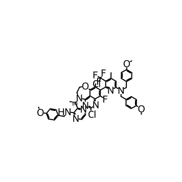 COc1ccc(CNc2nccnc2[C@@H](C)N2CCOc3c(Cl)c(-c4nc(N(Cc5ccc(OC)cc5)Cc5ccc(OC)cc5)cc(C)c4C(F)(F)F)c(F)c4nc(Cl)nc2c34)cc1